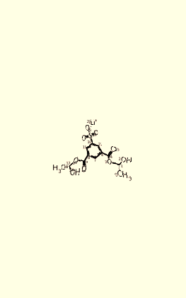 C[C@@H](O)OC(=O)c1cc(C(=O)O[C@@H](C)O)cc(S(=O)(=O)[O-])c1.[Li+]